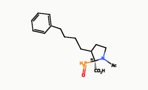 CC(=O)N1CCC(CCCCc2ccccc2)[C@@]1([PH2]=O)C(=O)O